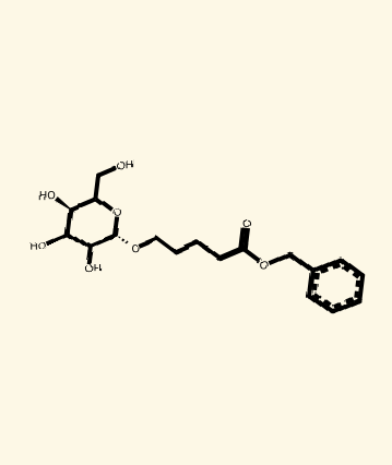 O=C(CCCCO[C@H]1OC(CO)[C@H](O)C(O)C1O)OCc1ccccc1